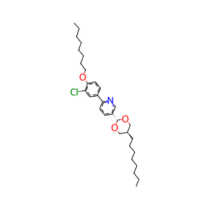 CCCCCCCCOc1ccc(-c2ccc([C@H]3OC[C@H](CCCCCCCC)CO3)cn2)cc1Cl